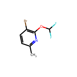 Cc1ccc(Br)c(OC(F)F)n1